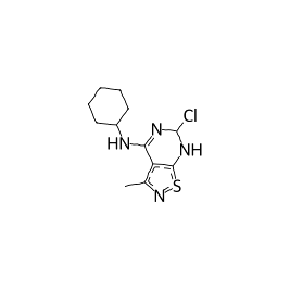 Cc1nsc2c1C(NC1CCCCC1)=NC(Cl)N2